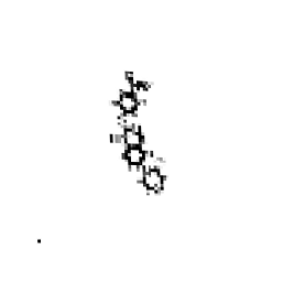 O=C(Nc1ccc(N2CCOCC2=O)cc1F)Oc1ccc([N+](=O)[O-])cc1